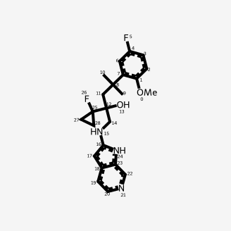 COc1ccc(F)cc1C(C)(C)CC(O)(CNc1cc2ccncc2[nH]1)C1(F)CC1